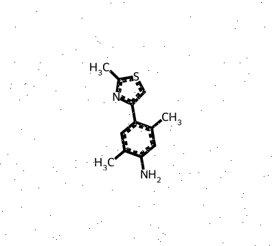 Cc1nc(-c2cc(C)c(N)cc2C)cs1